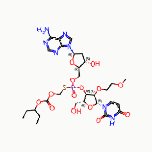 CCC(CC)OC(=O)OCSP(=O)(OC[C@H]1O[C@@H](n2cnc3c(N)ncnc32)C[C@@H]1O)O[C@H]1[C@@H](OCCOC)[C@H](n2ccc(=O)[nH]c2=O)O[C@@H]1CO